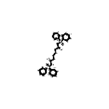 O=C(CCCCC(=O)CP(=O)(c1ccccc1)c1ccccc1)CP(=O)(c1ccccc1)c1ccccc1